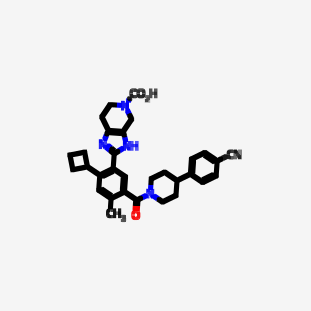 Cc1cc(C2CCC2)c(-c2nc3c([nH]2)CN(C(=O)O)CC3)cc1C(=O)N1CCC(c2ccc(C#N)cc2)CC1